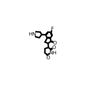 O=C1CCC(C2Cc3c(cc(F)cc3C3CCNCC3)C2=O)C(=O)N1